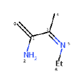 C=C(N)/C(C)=N\CC